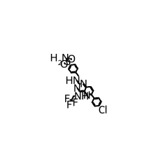 NS(=O)(=O)c1ccc(CNc2nc(NCC(F)(F)F)c3nc(-c4ccc(Cl)cc4)ccc3n2)cc1